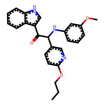 CCCOc1ccc(C(Nc2cccc(OC)c2)C(=O)c2c[nH]c3ccccc23)cn1